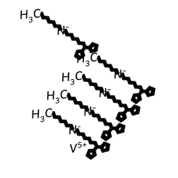 CCCCCCCC[N-]CCCCCCCC(C1=CC=CC1)C1=CC=CC1.CCCCCCCC[N-]CCCCCCCC(C1=CC=CC1)C1=CC=CC1.CCCCCCCC[N-]CCCCCCCC(C1=CC=CC1)C1=CC=CC1.CCCCCCCC[N-]CCCCCCCC(C1=CC=CC1)C1=CC=CC1.CCCCCCCC[N-]CCCCCCCC(C1=CC=CC1)C1=CC=CC1.[V+5]